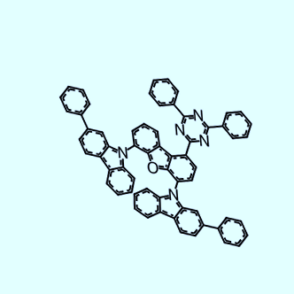 c1ccc(-c2ccc3c4ccccc4n(-c4cccc5c4oc4c(-n6c7ccccc7c7ccc(-c8ccccc8)cc76)ccc(-c6nc(-c7ccccc7)nc(-c7ccccc7)n6)c45)c3c2)cc1